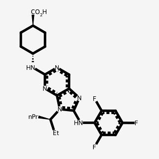 CCC[C@H](CC)n1c(Nc2c(F)cc(F)cc2F)nc2cnc(N[C@H]3CC[C@H](C(=O)O)CC3)nc21